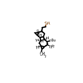 CCCCC1C(CCC)C2C(C)[C@@H]2C[C@H]2C3C4C[C@H]4C(CCS)CC3[C@@H]12